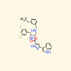 CCc1cccc(CNCC(OC(=O)c2cc(-c3c[nH]c4ccccc34)n[nH]2)C(N)Cc2cc(F)cc(F)c2)c1